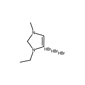 Br.Br.Br.CCN1C=CN(C)C1